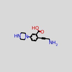 NCC#Cc1ccc(N2CCNCC2)cc1C(=O)O